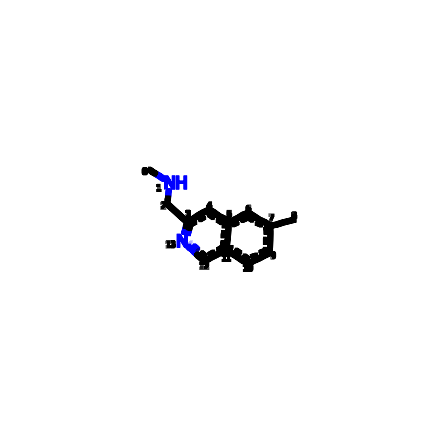 CNCc1cc2cc(C)ccc2cn1